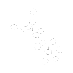 c1ccc(-c2ccc3c(c2)c2cc(-c4ccccc4)ccc2n3-c2ccc(-c3ccc(-c4nc(-c5ccccc5-c5ccccc5)cc(-c5ccccc5-c5ccccc5)n4)c4ccccc34)c3ccccc23)cc1